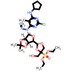 C=NN(c1nc(Cl)nc(NC2CCCC2)c1C)[C@@H]1OC(COC(CO)(CO)P(=O)(OCC)OCC)[C@H]2OC(C)(C)O[C@H]21